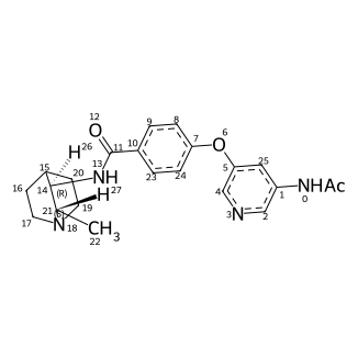 CC(=O)Nc1cncc(Oc2ccc(C(=O)N[C@@H]3C4CCN(CC4)[C@H]3C)cc2)c1